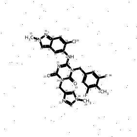 Cc1c(F)cc(Cn2c(Nc3cc4cn(C)nc4cc3Cl)nc(=O)n(Cc3cn(C)cn3)c2=O)cc1F